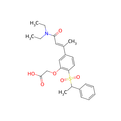 CCN(CC)C(=O)C=C(C)c1ccc(S(=O)(=O)C(C)c2ccccc2)c(OCC(=O)O)c1